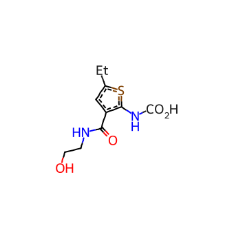 CCc1cc(C(=O)NCCO)c(NC(=O)O)s1